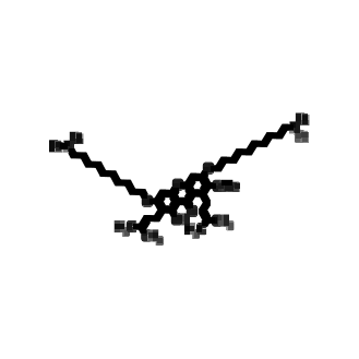 CCN(CC)CCCCCCCCCCOc1cc2oc3cc(OCCCCCCCCCCN(CC)CC)c(OC)c(CC=C(C)C)c3c(=O)c2c(O)c1CC=C(C)C